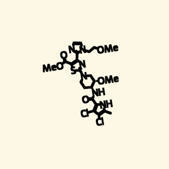 COCCn1ccnc1-c1nc(N2CC[C@@H](NC(=O)c3[nH]c(C)c(Cl)c3Cl)[C@@H](OC)C2)sc1C(=O)OC